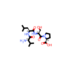 CC(C)C[C@H](NC(=O)[C@@H](N)C(C)C)C(=O)N[C@@H](CO)C(=O)N1CCC[C@H]1C(=O)O